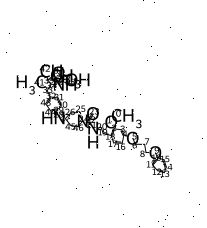 COc1cc(OCCCOc2ccccc2)ccc1CCNC(=O)N1CCC(Nc2ccc(CC(NC(=O)O)C(C)(C)C)cc2)CC1